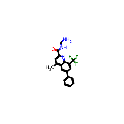 Cc1cc(C(=O)NCN)nc2c(C(F)(F)F)cc(-c3ccccc3)cc12